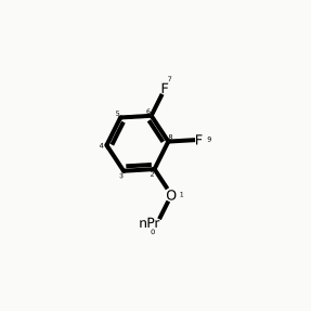 CCCOc1c[c]cc(F)c1F